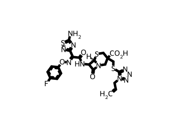 C=CCn1nnnc1SCC1(C(=O)O)CS[C@@H]2C(NC(=O)C(=NOc3ccc(F)cc3)c3nsc(N)n3)C(=O)N2C1